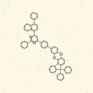 c1ccc(-c2nc(-c3ccc(-c4ccc5c(c4)Oc4c(ccc6c4-c4ccccc4C6(c4ccccc4)c4ccccc4)O5)cc3)cc(-c3ccc(-c4ccccc4)c4ccccc34)n2)cc1